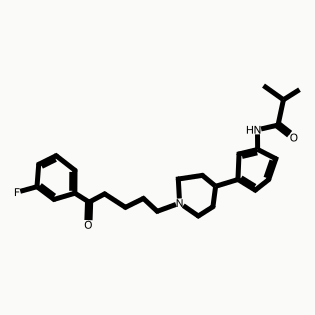 CC(C)C(=O)Nc1cccc(C2CCN(CCCCC(=O)c3cccc(F)c3)CC2)c1